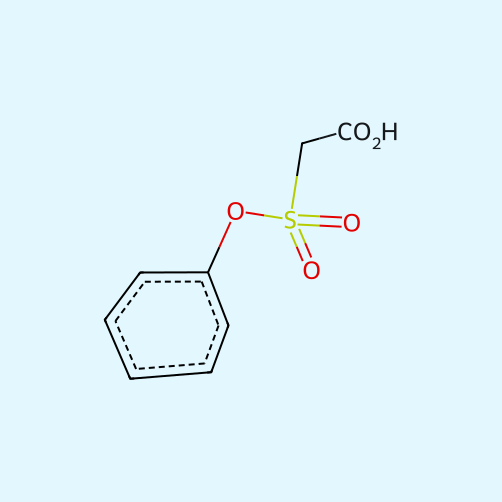 O=C(O)CS(=O)(=O)Oc1ccccc1